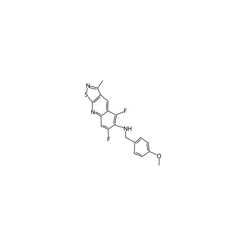 COc1ccc(CNc2c(F)cc3nc4snc(C)c4cc3c2F)cc1